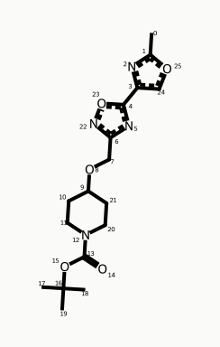 Cc1nc(-c2nc(COC3CCN(C(=O)OC(C)(C)C)CC3)no2)co1